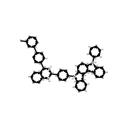 Cc1cccc(-c2ccc(-c3nc(-c4ccc(-n5c6ccccc6c6c7c8ccccc8n(-c8ccccc8)c7ccc65)cc4)nc4ccccc34)cc2)c1